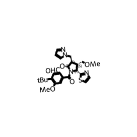 COC[C@H]1[C@H](Cn2cccn2)[C@@H](OC=O)N(C(=O)c2ccc(C(C)(C)C)c(OC)c2)[C@H]1c1nccs1